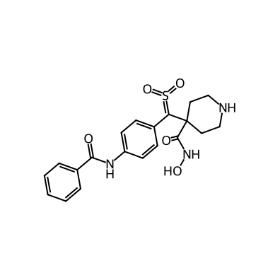 O=C(Nc1ccc(C(=S(=O)=O)C2(C(=O)NO)CCNCC2)cc1)c1ccccc1